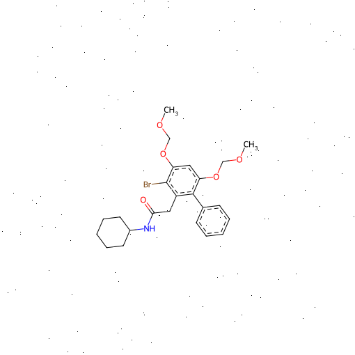 COCOc1cc(OCOC)c(-c2ccccc2)c(CC(=O)NC2CCCCC2)c1Br